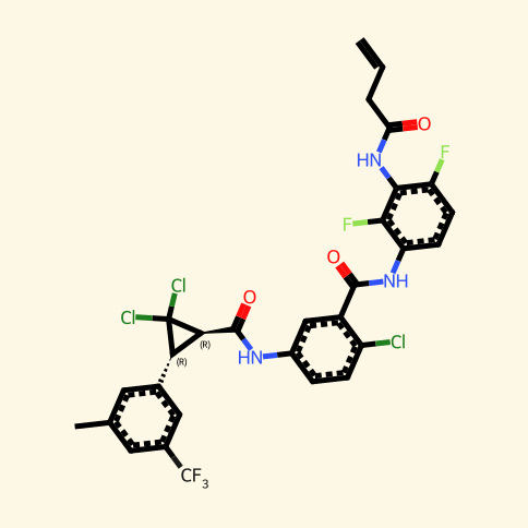 C=CCC(=O)Nc1c(F)ccc(NC(=O)c2cc(NC(=O)[C@H]3[C@H](c4cc(C)cc(C(F)(F)F)c4)C3(Cl)Cl)ccc2Cl)c1F